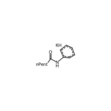 CCCCCC(=O)Nc1ccccc1.[KH]